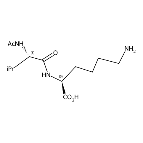 CC(=O)N[C@H](C(=O)N[C@@H](CCCCN)C(=O)O)C(C)C